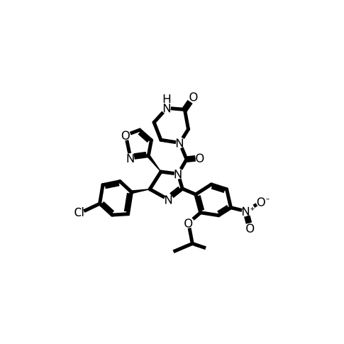 CC(C)Oc1cc([N+](=O)[O-])ccc1C1=N[C@@H](c2ccc(Cl)cc2)[C@@H](c2ccon2)N1C(=O)N1CCNC(=O)C1